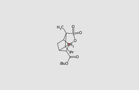 CC(C)COC(=O)C1C2OS(=O)(=O)C3(C)C2CC1C3(C)C(C)C